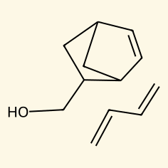 C=CC=C.OCC1CC2C=CC1C2